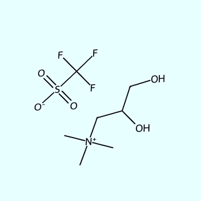 C[N+](C)(C)CC(O)CO.O=S(=O)([O-])C(F)(F)F